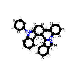 c1ccc(-n2c3ccccc3c3c4c(ccc32)c2ccccc2n2cc3ccccc3c42)cc1